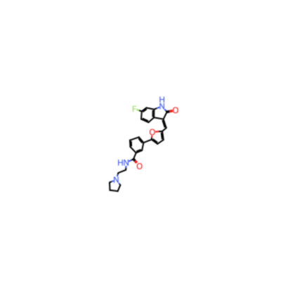 O=C1Nc2cc(F)ccc2/C1=C\c1ccc(-c2cccc(C(=O)NCCN3CCCC3)c2)o1